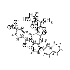 Cc1ccc2ccccc2c1CN1C(=O)[C@@H](NC(=O)[C@H](C)N(C)C(=O)O)CN(C(=O)c2ccc([N+](=O)[O-])cc2)c2ccccc21